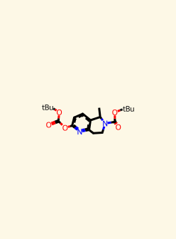 CC1c2ccc(OC(=O)OC(C)(C)C)nc2CCN1C(=O)OC(C)(C)C